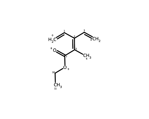 C=CC(C=C)=C(C)C(=O)OCC